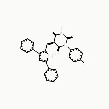 O=C1NC(=S)N(c2ccc(Cl)cc2)C(=O)/C1=C\c1[nH]c(-c2ccccc2)cc1-c1ccccc1